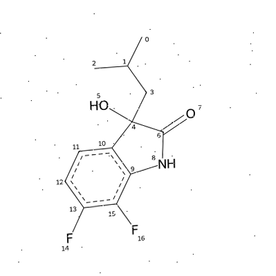 CC(C)CC1(O)C(=O)Nc2c1ccc(F)c2F